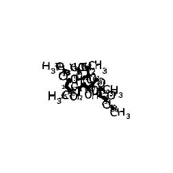 C=C(C)OC(C(=O)C(=C)C)[C@H](C1COC(C)(CC(=O)OCC)O1)[C@H](O)C1(C)COC(C)(CC(=O)OCC)O1